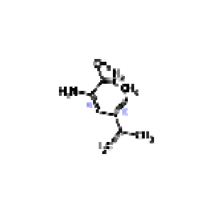 C=C(C)/C(N)=C\C(=C/C)C(=C)C